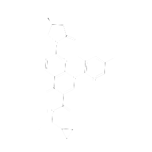 O=C(N[C@H](C1CC1)C(F)(F)F)c1cn(-c2ncc(F)cc2F)c2nc(N3C[C@@H](O)CC3=O)ccc2c1=O